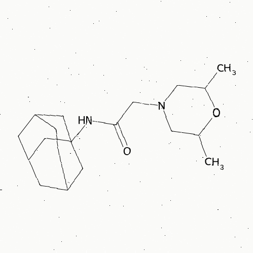 CC1CN(CC(=O)NC23CC4CC(CC(C4)C2)C3)CC(C)O1